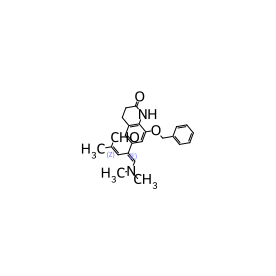 C/C(C=O)=C/C(=C\N(C)C)c1cc2c(c(OCc3ccccc3)c1)NC(=O)CC2